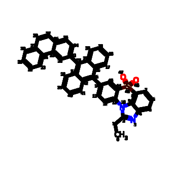 CCc1nc2cccc3c2n1-c1ccc(-c2c4ccccc4c(-c4ccc5ccc6ccccc6c5c4)c4ccccc24)cc1S3(=O)=O